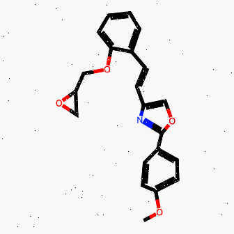 COc1ccc(-c2nc(C=Cc3ccccc3OCC3CO3)co2)cc1